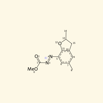 COC(=O)/N=N/c1cc(C)cc2c1OC(C)C2